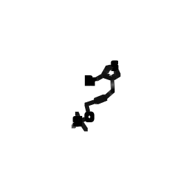 C[Si](C)(C)OCC#CCc1cscc1Br